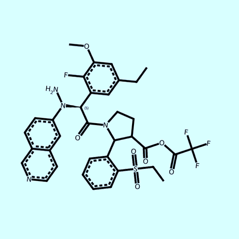 CCc1cc(OC)c(F)c([C@@H](C(=O)N2CCC(C(=O)OC(=O)C(F)(F)F)C2c2ccccc2S(=O)(=O)CC)N(N)c2ccc3cnccc3c2)c1